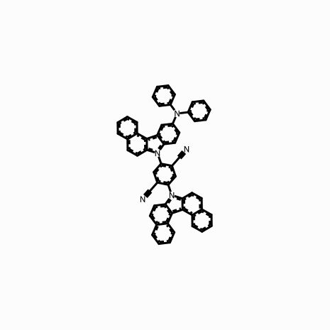 N#Cc1cc(-n2c3ccc4ccccc4c3c3c4ccccc4ccc32)c(C#N)cc1-n1c2ccc(N(c3ccccc3)c3ccccc3)cc2c2c3ccccc3ccc21